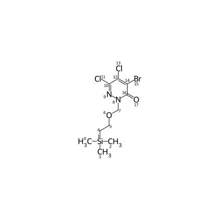 C[Si](C)(C)CCOCn1nc(Cl)c(Cl)c(Br)c1=O